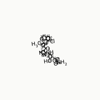 Cc1sc(C(=O)c2cncnc2N[C@@H]2C[C@H](COS(N)(=O)=O)[C@@H](O)C2)cc1[C@@H]1OCCc2ccc(Cl)c(F)c21